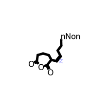 CCCCCCCCCCCC/C=C\C1CCCC(=O)OC1=O